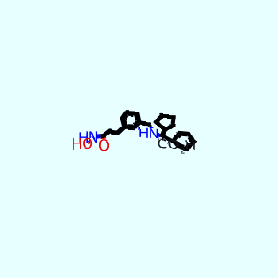 O=C(CCc1cccc(CN[C@](C(=O)O)(c2ccccc2)C2CCCC2)c1)NO